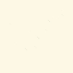 NS(=O)(=O)c1cccc(-c2c(-c3ccc(F)cc3)nc(C(F)(F)CF)nc2N2CCN(c3ccc([N+](=O)[O-])cn3)CC2)c1